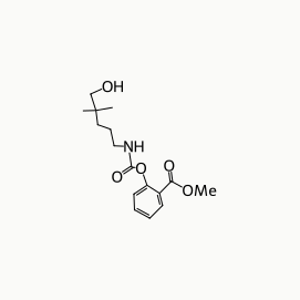 COC(=O)c1ccccc1OC(=O)NCCCC(C)(C)CO